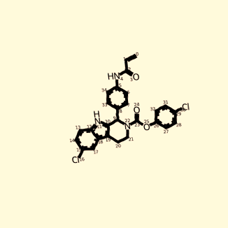 C=CC(=O)Nc1ccc(C2c3[nH]c4ccc(Cl)cc4c3CCN2C(=O)Oc2ccc(Cl)cc2)cc1